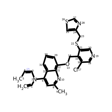 C=CN(/C=C\C)c1cc(C)nc2c(OCc3c(Cl)cncc3SCc3cscn3)cccc12